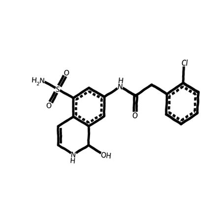 NS(=O)(=O)c1cc(NC(=O)Cc2ccccc2Cl)cc2c1C=CNC2O